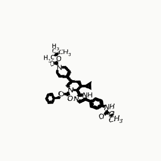 COC(=O)Nc1ccc(-c2cnc(C3C(C4CC4)CC(C4CCN(C(=O)OC(C)(C)C)CC4)CN3C(=O)OCc3ccccc3)[nH]2)cc1